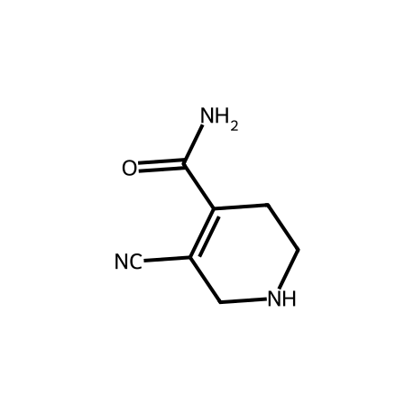 N#CC1=C(C(N)=O)CCNC1